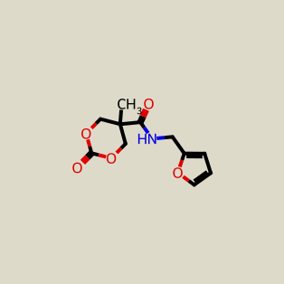 CC1(C(=O)NCc2ccco2)COC(=O)OC1